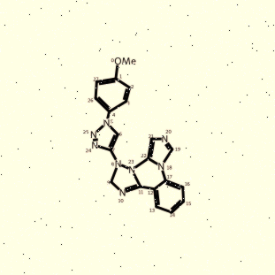 COc1ccc(-n2cc(N3CN=C4c5ccccc5-n5cncc5N43)nn2)cc1